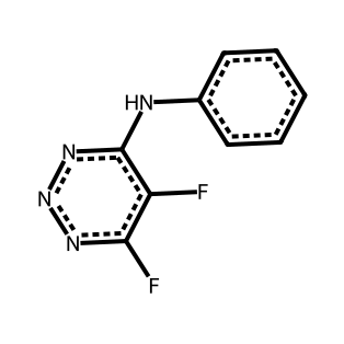 Fc1nnnc(Nc2ccccc2)c1F